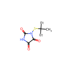 CCC(C)(CC)SN1C(=O)NC(=O)C1=O